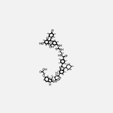 O=C(O)COc1ccc2[nH]cc(C[C@H](NC(=O)c3ccc4c(c3)nc(-c3ccc(C(=O)NCCNC(=S)Nc5ccc(-c6c7ccc(=O)cc-7oc7cc(O)ccc67)c(C(=O)O)c5)cc3)n4C3CCCCC3)C(=O)O)c2c1